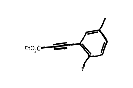 CCOC(=O)C#Cc1cc(C)ccc1F